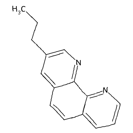 CCCc1cnc2c(ccc3cccnc32)c1